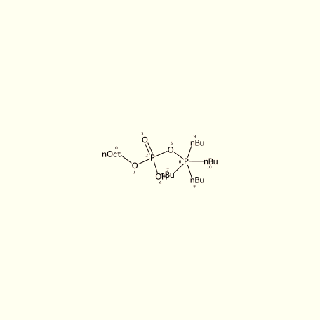 CCCCCCCCOP(=O)(O)OP(CCCC)(CCCC)(CCCC)CCCC